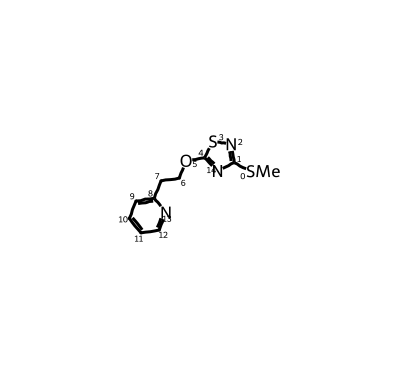 CSc1nsc(OCCc2ccccn2)n1